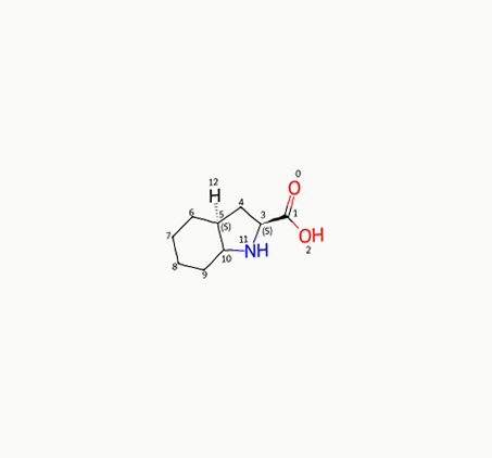 O=C(O)[C@@H]1C[C@@H]2CCCCC2N1